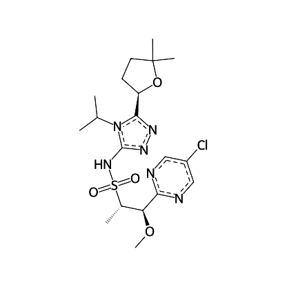 CO[C@H](c1ncc(Cl)cn1)[C@H](C)S(=O)(=O)Nc1nnc([C@H]2CCC(C)(C)O2)n1C(C)C